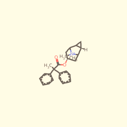 CC(C(=O)O[C@H]1CC2C3C[C@@H]3C(C1)[N+]2(C)C)(c1ccccc1)c1ccccc1